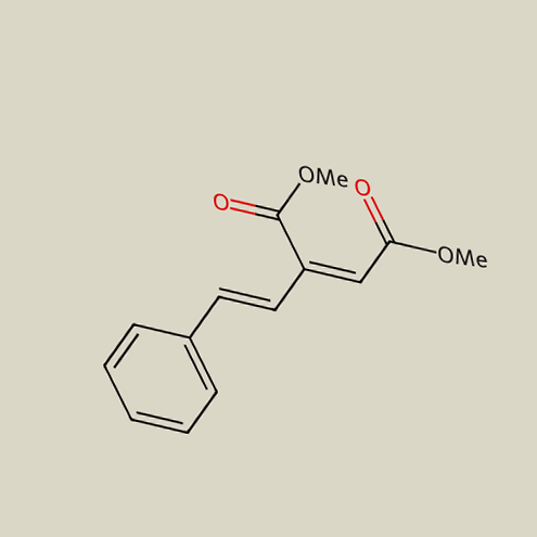 COC(=O)C=C(C=Cc1ccccc1)C(=O)OC